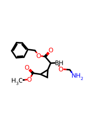 COC(=O)C1CC1C(BOCN)C(=O)OCc1ccccc1